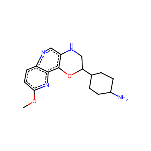 COc1ccc2ncc3c(c2n1)OC(C1CCC(N)CC1)CN3